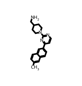 Cc1ccc2cc(-c3ccnc(N4CCC(CN)CC4)n3)ccc2c1